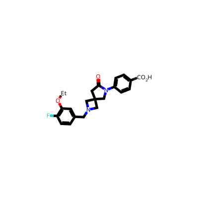 CCOc1cc(CN2CC3(CC(=O)N(c4ccc(C(=O)O)cc4)C3)C2)ccc1F